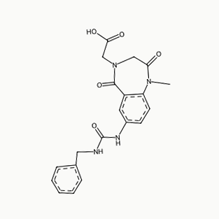 CN1C(=O)CN(CC(=O)O)C(=O)c2cc(NC(=O)NCc3ccccc3)ccc21